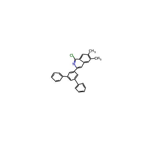 Cc1cc2cc(-c3cc(-c4ccccc4)cc(-c4ccccc4)c3)nc(Cl)c2cc1C